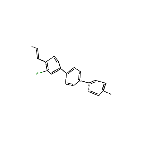 C/C=C/c1ccc(-c2ccc(-c3ccc(C)cc3)cc2)cc1F